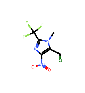 Cn1c(C(F)(F)F)nc([N+](=O)[O-])c1CCl